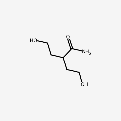 NC(=O)C(CCO)CCO